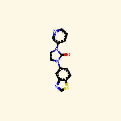 O=C1N(c2cccnc2)CCN1c1ccc2scnc2c1